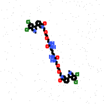 CN1Cc2c(Cl)cc(Cl)cc2C(c2cccc3c2CN(CCOCCOCCNC(=O)NCCCCNC(=O)NCCOCCOCCN2Cc4c(cccc4C4CN(C)Cc5c(Cl)cc(Cl)cc54)C2=O)C3=O)C1